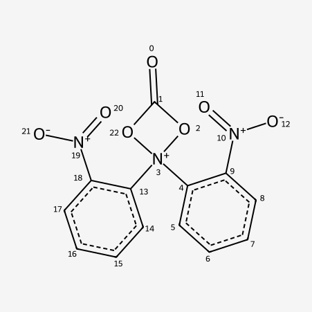 O=C1O[N+](c2ccccc2[N+](=O)[O-])(c2ccccc2[N+](=O)[O-])O1